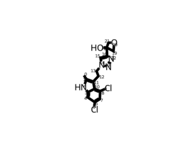 Cc1[nH]c2cc(Cl)cc(Cl)c2c1CCn1cc(C2(O)COC2)nn1